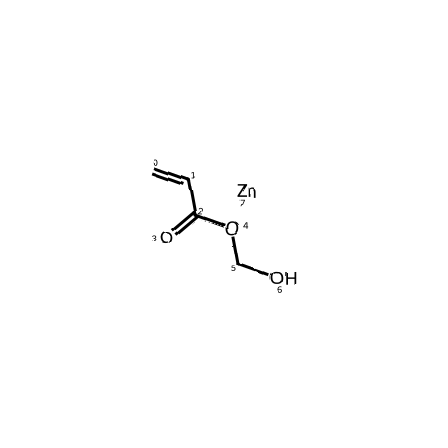 C=CC(=O)OCO.[Zn]